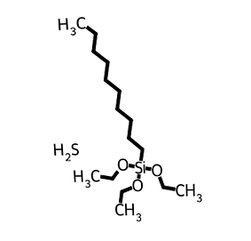 CCCCCCCCCC[Si](OCC)(OCC)OCC.S